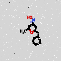 Cc1c/c(=N\O)cc(Cc2ccccc2)o1